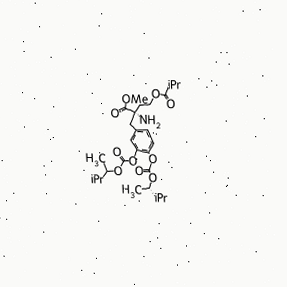 COC(=O)[C@@](N)(CCOC(=O)C(C)C)Cc1ccc(OC(=O)O[C@@H](C)C(C)C)c(OC(=O)OC(C)C(C)C)c1